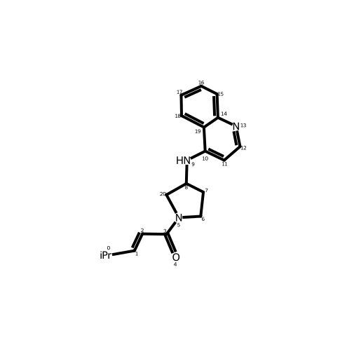 CC(C)/C=C/C(=O)N1CCC(Nc2ccnc3ccccc23)C1